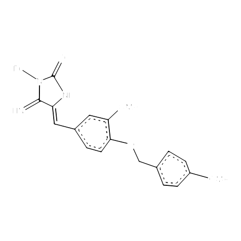 CCN1C(=N)C(=Cc2ccc(OCc3ccc(OC)cc3)c(OC)c2)NC1=O